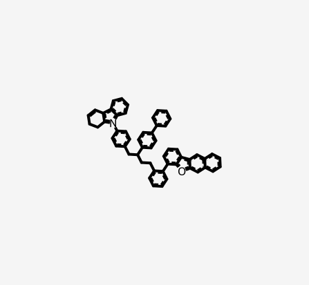 C1=Cc2c(n(-c3ccc(CC(CCc4ccccc4-c4cccc5c4oc4cc6ccccc6cc45)c4ccc(-c5ccccc5)cc4)cc3)c3ccccc23)CC1